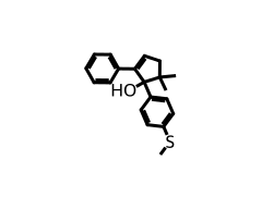 CSc1ccc(C2(O)C(c3ccccc3)=CCC2(C)C)cc1